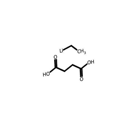 O=C(O)CCC(=O)O.[Li][CH2]C